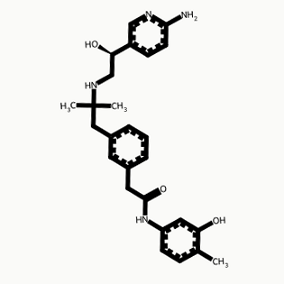 Cc1ccc(NC(=O)Cc2cccc(CC(C)(C)NC[C@@H](O)c3ccc(N)nc3)c2)cc1O